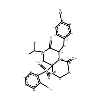 CC(C)N1CC2(S(=O)(=O)c3ccccc3F)NCCC(=O)N2C(Cc2ccc(Cl)cc2)C1=O